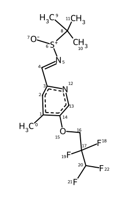 Cc1cc(/C=N/[S+]([O-])C(C)(C)C)ncc1OCC(F)(F)C(F)F